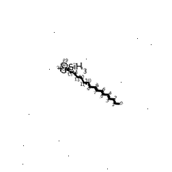 CCCCCCCCCCCCCCCCC([SiH3])(OC)OC